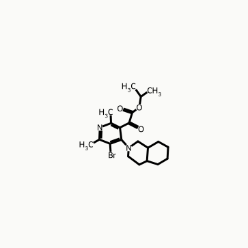 Cc1nc(C)c(C(=O)C(=O)OC(C)C)c(N2CCC3CCCCC3C2)c1Br